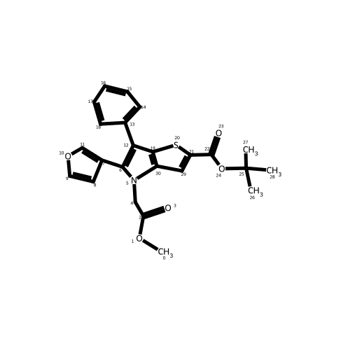 COC(=O)Cn1c(-c2ccoc2)c(-c2ccccc2)c2sc(C(=O)OC(C)(C)C)cc21